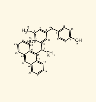 Cc1cc(Sc2ccc(O)cc2)cc(C(C)c2c3ccccc3cc3ccccc23)c1O